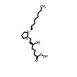 CCCCCCC=C[C@H]1CCC[C@@H]1CC=C(O)CCCC(=O)OO